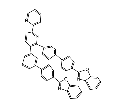 c1ccc(-c2ccc(-c3cccc(-c4ccc(-c5nc6ccccc6o5)cc4)c3)c(-c3ccc(-c4ccc(-c5nc6ccccc6o5)cc4)cc3)n2)nc1